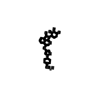 O=C1CCC(N2C(=O)c3cccc4c(Oc5cnn(C6CCN(C(=O)O)CC6)c5)cnc2c34)C(=O)N1